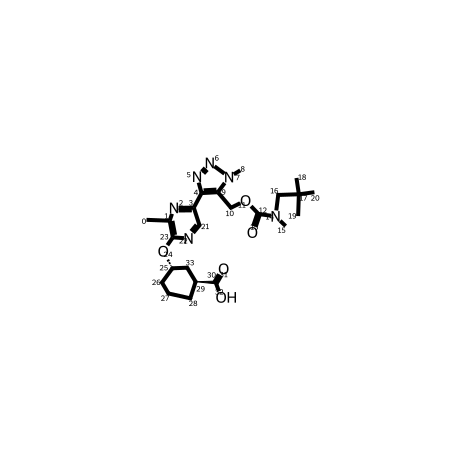 Cc1nc(-c2nnn(C)c2COC(=O)N(C)CC(C)(C)C)cnc1O[C@H]1CCC[C@H](C(=O)O)C1